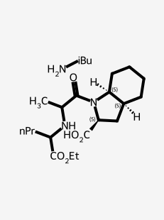 CCC(C)N.CCCC(NC(C)C(=O)N1[C@H](C(=O)O)C[C@@H]2CCCC[C@@H]21)C(=O)OCC